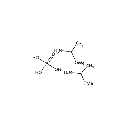 COC(C)N.COC(C)N.O=P(O)(O)O